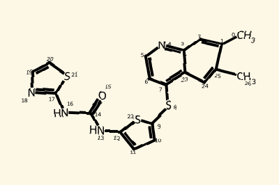 Cc1cc2nccc(Sc3ccc(NC(=O)Nc4nccs4)s3)c2cc1C